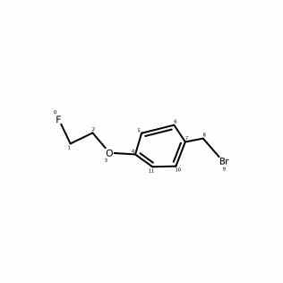 FCCOc1ccc(CBr)cc1